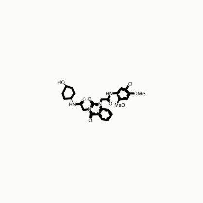 COc1cc(OC)c(NC(=O)Cn2c(=O)n(CC(=O)N[C@H]3CC[C@H](O)CC3)c(=O)c3ccccc32)cc1Cl